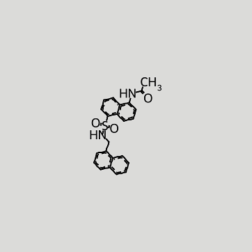 CC(=O)Nc1cccc2c(S(=O)(=O)NCc3cccc4ccccc34)cccc12